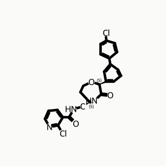 O=C(NC[C@@H]1CCO[C@@H](c2cccc(-c3ccc(Cl)cc3)c2)C(=O)N1)c1cccnc1Cl